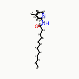 CCCCCCCCCCCC(=O)Nc1cc(C)ccn1